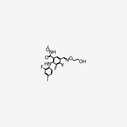 CONC(=O)c1cc(C=NOCCO)c(F)c(F)c1Nc1ccc(I)cc1F